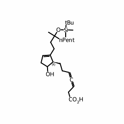 CCCCCC(C)(CCC1=CCC(O)[C@@H]1CCC=C=CCC(=O)O)O[Si](C)(C)C(C)(C)C